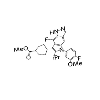 COc1cc(-n2c(C(C)C)c([C@H]3CC[C@H](C(=O)OC)CC3)c3c(F)c4[nH]ncc4cc32)ccc1F